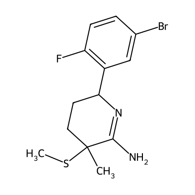 CSC1(C)CCC(c2cc(Br)ccc2F)N=C1N